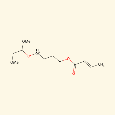 CC=CC(=O)OCCC[SiH2]OC(COC)OC